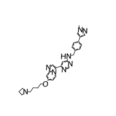 Cn1cc(-c2ccc(CNc3cc(-c4cnc5cc(OCCCCN6CCC6)ccn45)ncn3)cc2)cn1